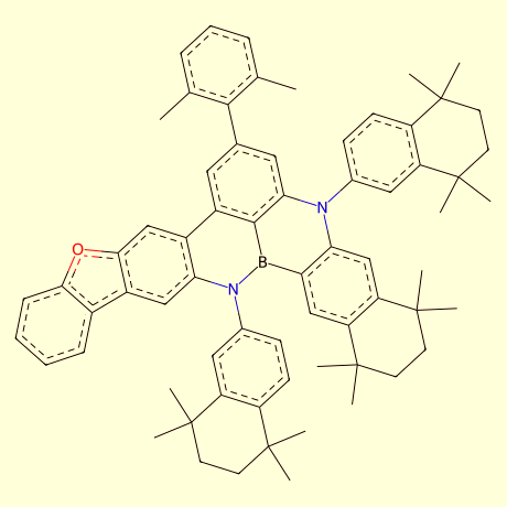 Cc1cccc(C)c1-c1cc2c3c(c1)N(c1ccc4c(c1)C(C)(C)CCC4(C)C)c1cc4c(cc1B3N(c1ccc3c(c1)C(C)(C)CCC3(C)C)c1cc3c(cc1-2)oc1ccccc13)C(C)(C)CCC4(C)C